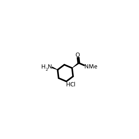 CNC(=O)[C@H]1CCC[C@@H](N)C1.Cl